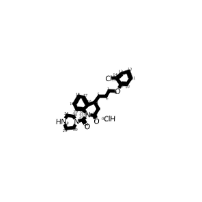 Cl.O=C1CC(CCCOc2ccccc2Cl)c2ccccc2N1C(=O)N1CCNCC1